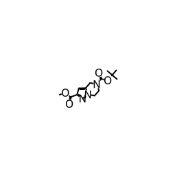 COC(=O)c1cc2n(n1)CCN(C(=O)OC(C)(C)C)C2